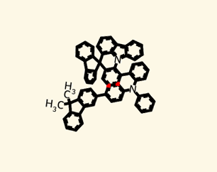 CC1(C)c2ccccc2-c2cc(-c3ccc(N(c4ccccc4)c4ccccc4-c4cccc5c4-n4c6ccccc6c6cccc(c64)C54c5ccccc5-c5ccccc54)cc3)ccc21